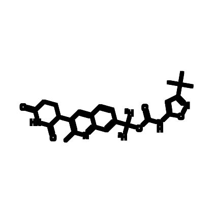 [2H]C([2H])(OC(=O)Nc1cc(C(C)(C)C)no1)c1ccc2cc(C3CCC(=O)NC3=O)c(C)nc2c1